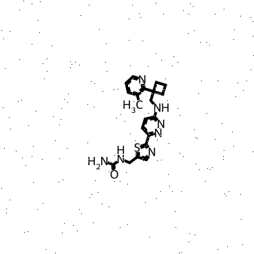 Cc1cccnc1C1(CNc2ccc(-c3ncc(CNC(N)=O)s3)nn2)CCC1